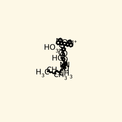 CC(C)=CCC/C(C)=C/CC/C(C)=C/Cn1cnc2c(ncn2[C@H]2CC(O)[C@@H](COS(=O)(=O)c3ccc(C4=c5cc6c7c(c5Oc5c4cc4c8c5CCCN8CCC4)CCC[N+]=7CCC6)c(S(=O)(=O)O)c3)O2)c1=O